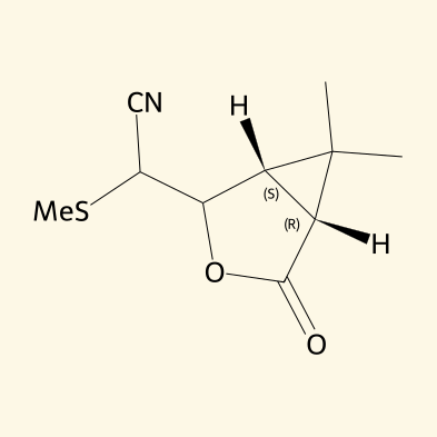 CSC(C#N)C1OC(=O)[C@@H]2[C@H]1C2(C)C